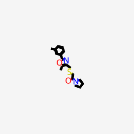 Cc1cccc(-c2nc(CSCC(=O)N3CCCC3)c(C)o2)c1